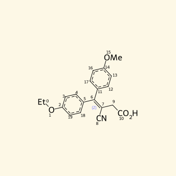 CCOc1ccc(/C(=C(\C#N)CC(=O)O)c2ccc(OC)cc2)cc1